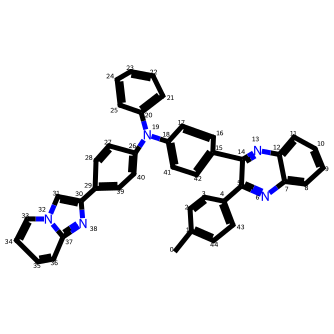 Cc1ccc(-c2nc3ccccc3nc2-c2ccc(N(c3ccccc3)c3ccc(-c4cn5ccccc5n4)cc3)cc2)cc1